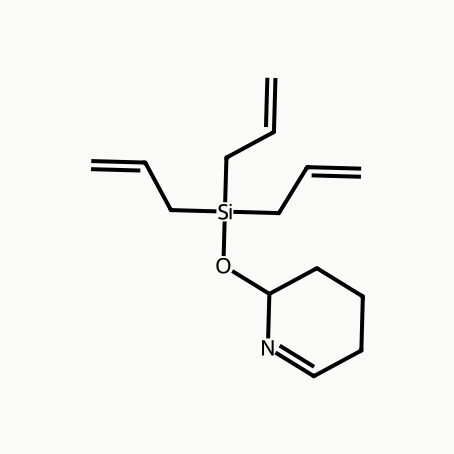 C=CC[Si](CC=C)(CC=C)OC1CCCC=N1